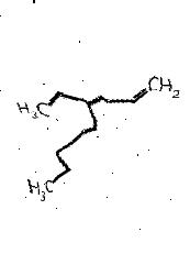 C=CCC(CC)CCCC